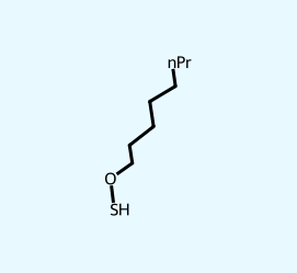 CCCCCCCCOS